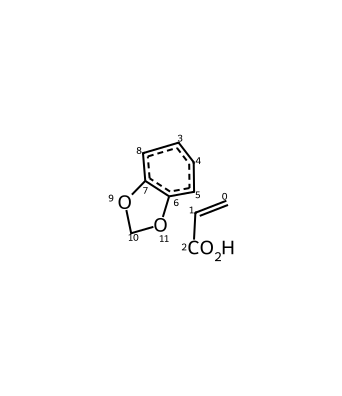 C=CC(=O)O.c1ccc2c(c1)OCO2